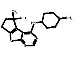 CC1(C)CCc2sc3ncnc(NC4CCC(N)CC4)c3c21